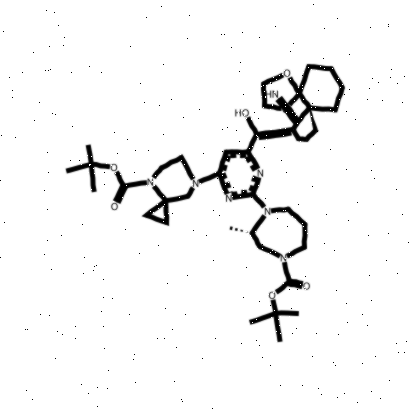 C[C@H]1CN(C(=O)OC(C)(C)C)CCCN1c1nc(/C(O)=C2\CCC[C@@]3(CCCCC34OCCO4)C2=N)cc(N2CCN(C(=O)OC(C)(C)C)C3(CC3)C2)n1